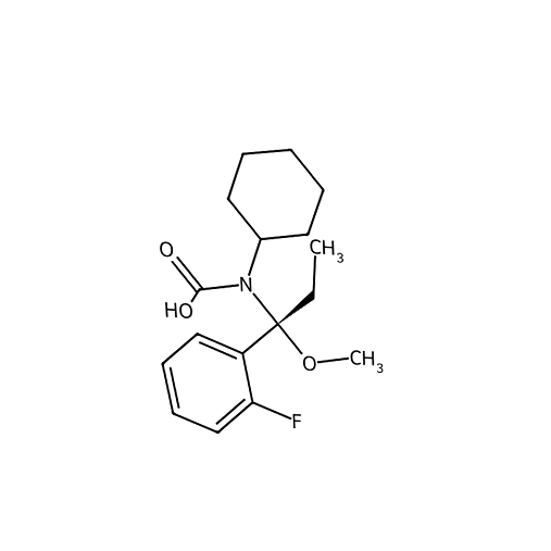 CC[C@@](OC)(c1ccccc1F)N(C(=O)O)C1CCCCC1